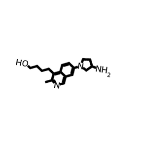 Cc1ncc2cc(N3CCC(N)C3)ccc2c1CCCCO